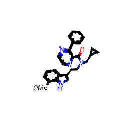 COc1cccc2c(CCN(CC3CC3)C(=O)c3nccnc3-c3ccccc3)c[nH]c12